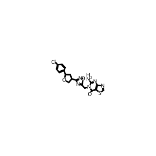 Nc1nc2ncsc2c(=O)n1Cc1nc(C2COC(c3ccc(Cl)cc3)C2)no1